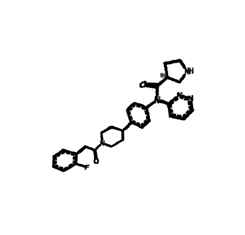 O=C(Cc1ccccc1F)N1CCC(c2ccc(N(C(=O)[C@H]3CCNC3)c3cccnn3)cc2)CC1